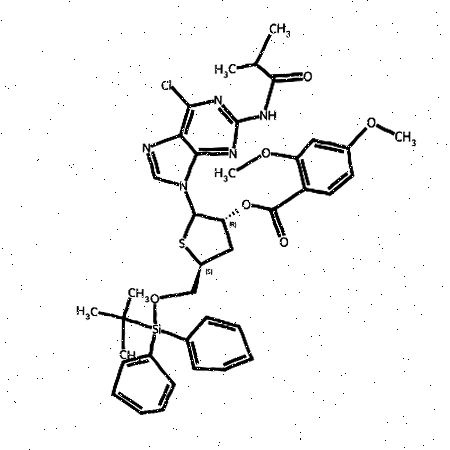 COc1ccc(C(=O)O[C@@H]2C[C@@H](CO[Si](c3ccccc3)(c3ccccc3)C(C)(C)C)SC2n2cnc3c(Cl)nc(NC(=O)C(C)C)nc32)c(OC)c1